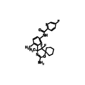 Cc1ccc(NC(=O)c2ccc(F)cn2)cc1C1(C)N=C(N)OC2(CCCCC2)C1(F)F